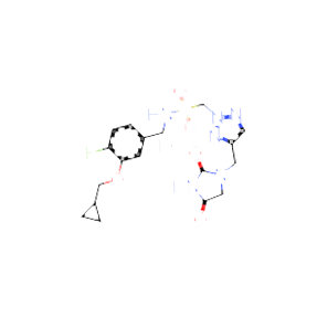 C[C@@H](NS(=O)(=O)Cn1ncc(CN2CC(=O)NC2=O)n1)c1ccc(F)c(OCC2CC2)c1